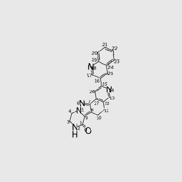 O=C1NCCn2nc3c(c21)CCc1cnc(-c2cnc4ccccc4c2)cc1-3